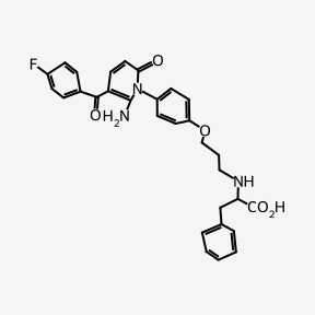 Nc1c(C(=O)c2ccc(F)cc2)ccc(=O)n1-c1ccc(OCCCNC(Cc2ccccc2)C(=O)O)cc1